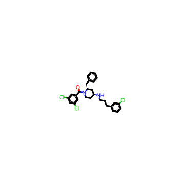 O=C(c1cc(Cl)cc(Cl)c1)N1CC[C@H](NCCCc2cccc(Cl)c2)C[C@H]1Cc1ccccc1